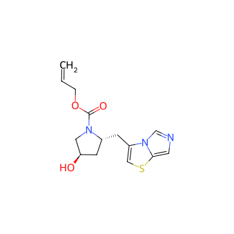 C=CCOC(=O)N1C[C@H](O)C[C@H]1Cc1csc2cncn12